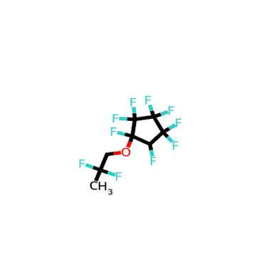 CC(F)(F)COC1(F)C(F)C(F)(F)C(F)(F)C1(F)F